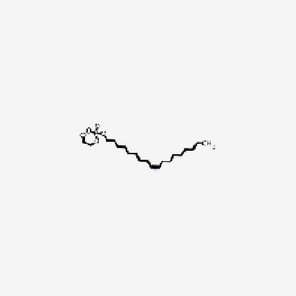 CCCCCCCC/C=C\CCCCCCCCOP1(=O)OCCOO1